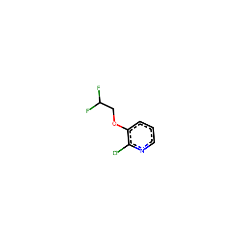 FC(F)COc1cccnc1Cl